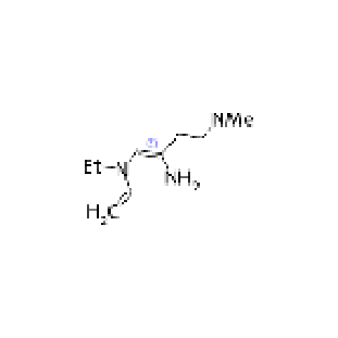 C=CN(/C=C(\N)CCNC)CC